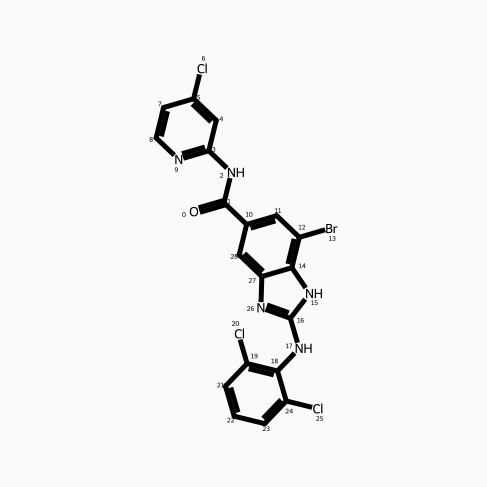 O=C(Nc1cc(Cl)ccn1)c1cc(Br)c2[nH]c(Nc3c(Cl)cccc3Cl)nc2c1